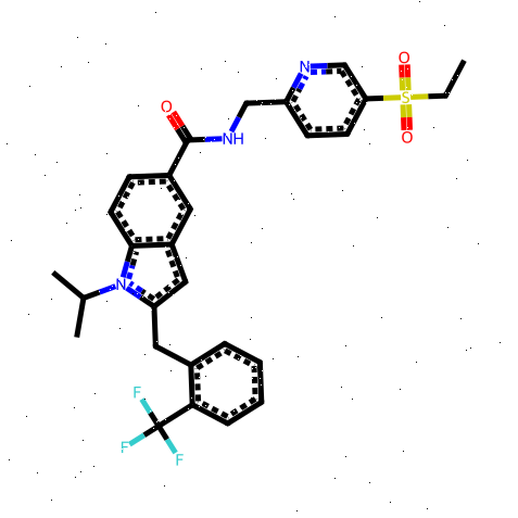 CCS(=O)(=O)c1ccc(CNC(=O)c2ccc3c(c2)cc(Cc2ccccc2C(F)(F)F)n3C(C)C)nc1